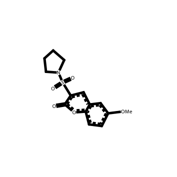 COc1ccc2oc(=O)c(S(=O)(=O)N3CCCC3)cc2c1